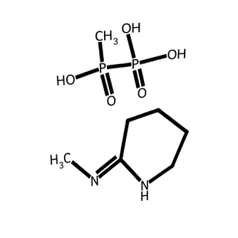 CN=C1CCCCN1.CP(=O)(O)P(=O)(O)O